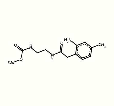 Cc1ccc(CC(=O)NCCNC(=O)OC(C)(C)C)c(N)c1